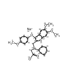 COc1ccc(Oc2c(CN(CC(=O)[O-])c3ccccc3)sc3cc(OC)c(OC)cc23)cc1.[Na+]